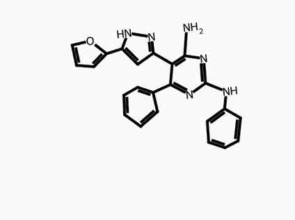 Nc1nc(Nc2ccccc2)nc(-c2ccccc2)c1-c1cc(-c2ccco2)[nH]n1